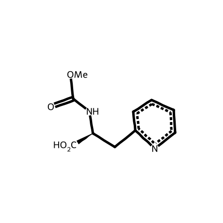 COC(=O)N[C@@H](Cc1ccccn1)C(=O)O